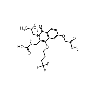 CC(C)Cn1c(CNC(=O)O)c(OCCCC(F)(F)F)c2cc(OCC(N)=O)ccc2c1=O